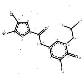 N#Cc1sc(C(=O)Nc2cc(F)c(=O)n(CC(F)F)c2)cc1Cl